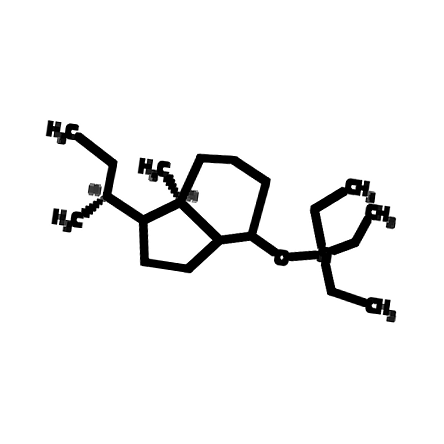 CC[C@@H](C)C1CCC2C(O[Si](CC)(CC)CC)CCC[C@@]21C